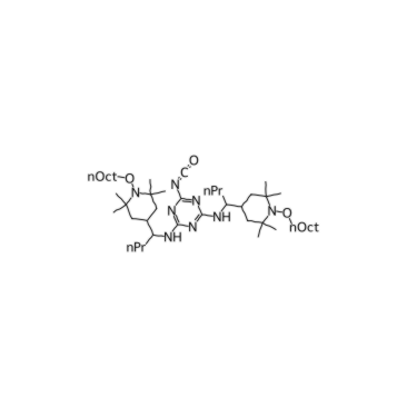 CCCCCCCCON1C(C)(C)CC(C(CCC)Nc2nc(N=C=O)nc(NC(CCC)C3CC(C)(C)N(OCCCCCCCC)C(C)(C)C3)n2)CC1(C)C